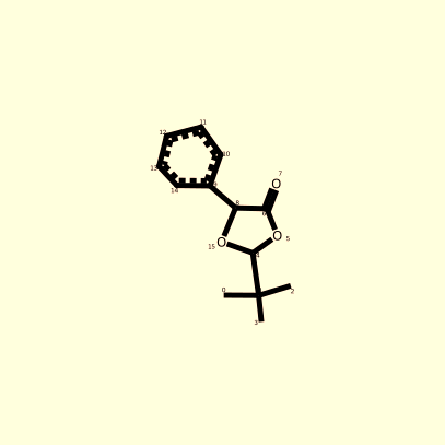 CC(C)(C)C1OC(=O)C(c2ccccc2)O1